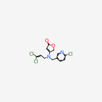 O=C1C=C(N(CC=C(Cl)Cl)Cc2ccc(Cl)nc2)CO1